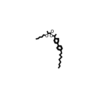 CCCCCCCCc1ccc(-c2ccc(C(C)OC(=O)C(C)OCCCCC)cc2)cc1